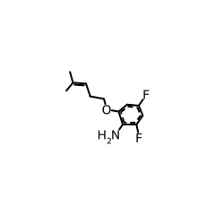 CC(C)=CCCOc1cc(F)cc(F)c1N